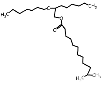 CCCCCCCCC(CCCCCC)COC(=O)CCCCCCCCCC(C)C